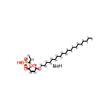 CCCCCCCCCCCCCCCCCCCCOC(=O)/C=C\C(=O)OC(CC)S(=O)(=O)O.[NaH]